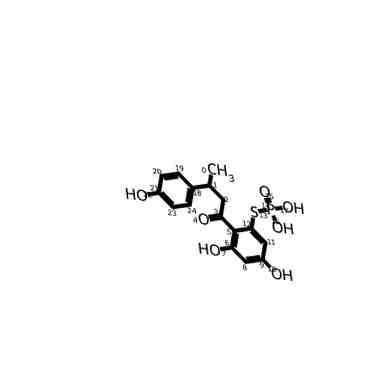 CC(CC(=O)c1c(O)cc(O)cc1SP(=O)(O)O)c1ccc(O)cc1